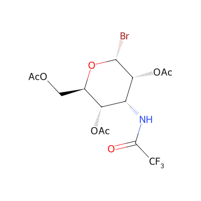 CC(=O)OC[C@H]1O[C@H](Br)[C@H](OC(C)=O)[C@H](NC(=O)C(F)(F)F)[C@@H]1OC(C)=O